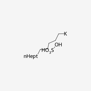 CCCCCCCCCCC[CH2][K].O=S(=O)(O)O